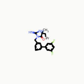 CC(C)CC1(C)NC(=N)N(Cc2cccc(-c3cc(F)cc(F)c3)c2)C1=O